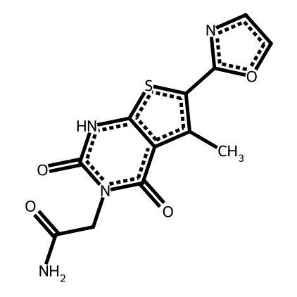 Cc1c(-c2ncco2)sc2[nH]c(=O)n(CC(N)=O)c(=O)c12